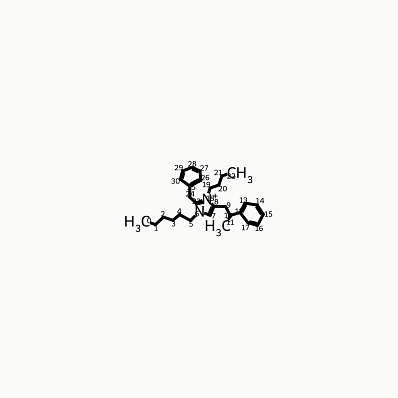 CCCCCCn1cc(CC(C)c2ccccc2)[n+](CCCC)c1Cc1ccccc1